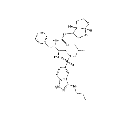 CCCNc1n[nH]c2ccc(S(=O)(=O)N(CC(C)C)C[C@@H](O)[C@H](Cc3ccccc3)NC(=O)OC3CO[C@H]4OCC[C@@H]34)cc12